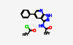 CCCC(=O)Cl.CCCC(=O)Nc1n[nH]c2ncc(-c3ccccc3)cc12